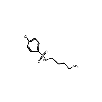 NCCCCNS(=O)(=O)c1ccc(Cl)cc1